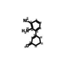 N#Cc1cccc(C2=CC(=O)CCC2)c1N